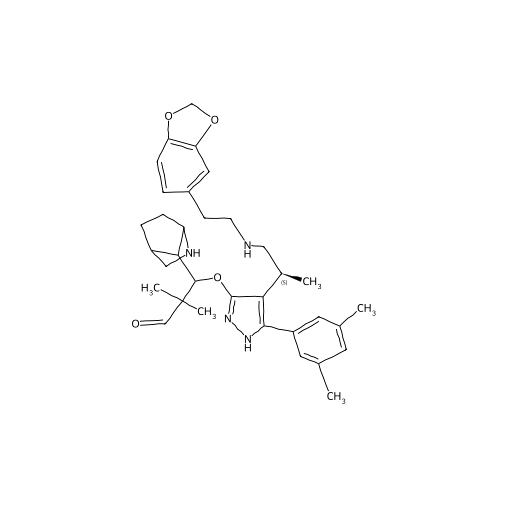 Cc1cc(C)cc(-c2[nH]nc(OC(C3C4CCC3NC4)C(C)(C)C=O)c2[C@H](C)CNCCc2ccc3c(c2)OCO3)c1